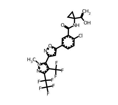 C=C(O)C1(NC(=O)c2cc(-c3cc(-c4c(C(F)(F)F)c(C(F)(F)C(F)(F)F)nn4C)no3)ccc2Cl)CC1